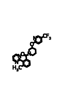 Cc1cccc(C(=O)N2CCCC(Oc3ccc(C(F)(F)F)cn3)C2)c1-c1ncccn1